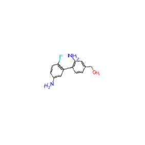 Nc1ccc(F)c(-c2[c]cc(CO)cc2N)c1